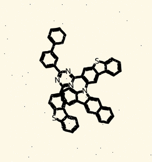 C1=CCCC(c2cccc(-c3nc(-c4ccc5sc6ccccc6c5c4)nc(-c4cc5sc6ccccc6c5cc4-n4c5ccccc5c5cc6ccccc6cc54)n3)c2)=C1